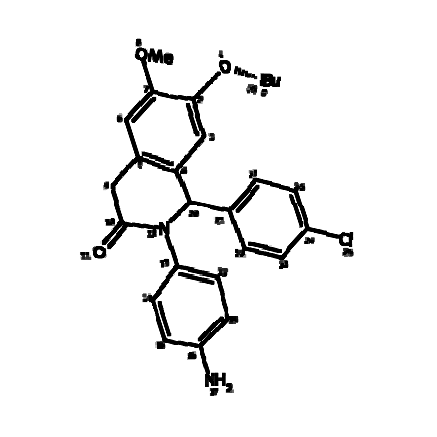 CC[C@@H](C)Oc1cc2c(cc1OC)CC(=O)N(c1ccc(N)cc1)C2c1ccc(Cl)cc1